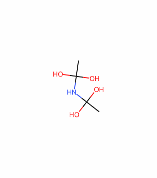 CC(O)(O)NC(C)(O)O